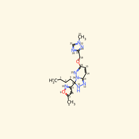 CCCCC1(c2cc(C)on2)NN=C2C=CC(OCc3ncn(C)n3)=NN21